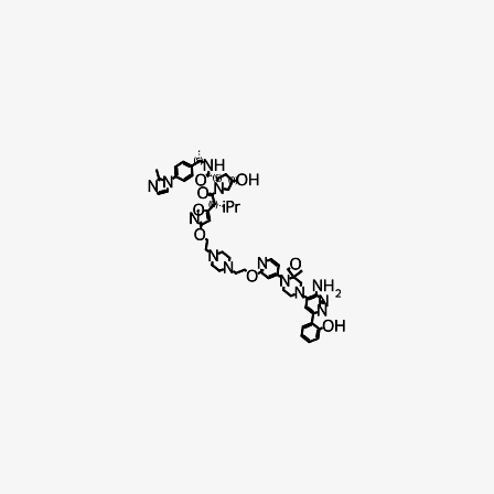 Cc1nccn1-c1ccc([C@H](C)NC(=O)[C@@H]2C[C@@H](O)CN2C(=O)[C@@H](c2cc(OCCN3CCN(CCOc4cc(N5CCN(c6cc(-c7ccccc7O)nnc6N)CC56COC6)ccn4)CC3)no2)C(C)C)cc1